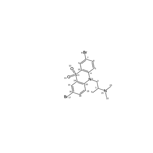 CC(CN1c2ccc(Br)cc2S(=O)(=O)c2cc(Br)ccc21)N(C)C